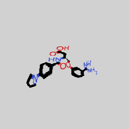 N=C(N)c1cccc(OC[C@@H](CC(=O)O)NC(=O)c2ccc(N3CCCC3)cc2)c1